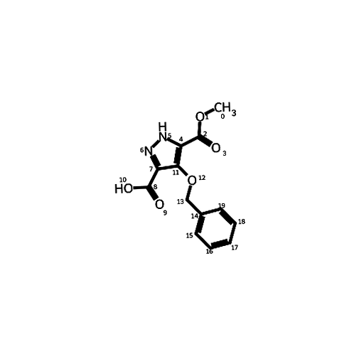 COC(=O)c1[nH]nc(C(=O)O)c1OCc1ccccc1